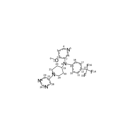 COc1ccncc1N(c1ccc(C(F)(F)F)cc1)C1CCN(c2cncnc2)CC1